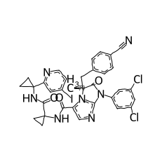 C[C@@]1(Cc2ccc(C#N)cc2)C(=O)N(c2cc(Cl)cc(Cl)c2)c2ncc(C(=O)NC3(C(=O)NC4(c5cc(I)ccn5)CC4)CC3)n21